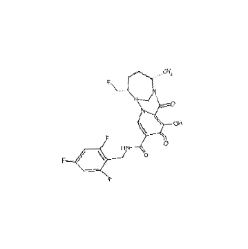 C[C@H]1CC[C@@H](CF)N2CN1C(=O)c1c(O)c(=O)c(C(=O)NCc3c(F)cc(F)cc3F)cn12